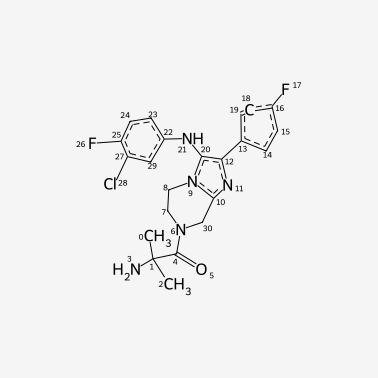 CC(C)(N)C(=O)N1CCn2c(nc(-c3ccc(F)cc3)c2Nc2ccc(F)c(Cl)c2)C1